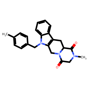 Cc1ccc(Cn2c3c(c4ccccc42)CC2C(=O)N(C)CC(=O)N2C3)cc1